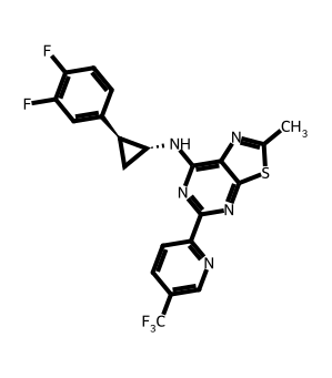 Cc1nc2c(N[C@@H]3C[C@H]3c3ccc(F)c(F)c3)nc(-c3ccc(C(F)(F)F)cn3)nc2s1